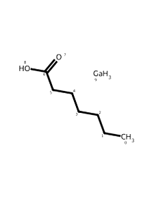 CCCCCCC(=O)O.[GaH3]